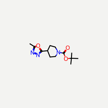 Cc1nnc(C2CCN(C(=O)OC(C)(C)C)CC2)o1